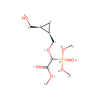 COC(=O)C(OC[C@@H]1C[C@@H]1CO)P(=O)(OC)OC